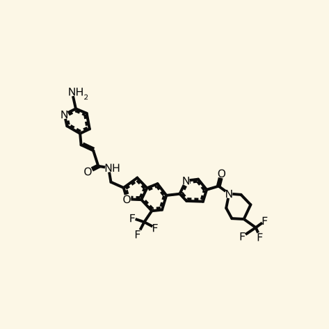 Nc1ccc(C=CC(=O)NCc2cc3cc(-c4ccc(C(=O)N5CCC(C(F)(F)F)CC5)cn4)cc(C(F)(F)F)c3o2)cn1